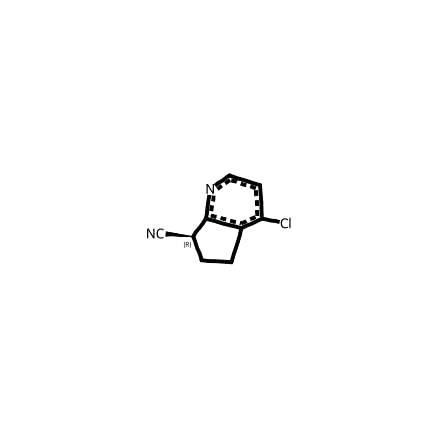 N#C[C@@H]1CCc2c(Cl)ccnc21